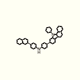 c1ccc(-n2c3cc(-c4ccc(Nc5ccc(-c6ccc7ccccc7c6)cc5)cc4)ccc3c3ccc4ccccc4c32)cc1